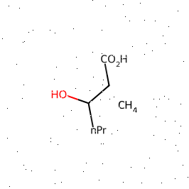 C.CCCC(O)CC(=O)O